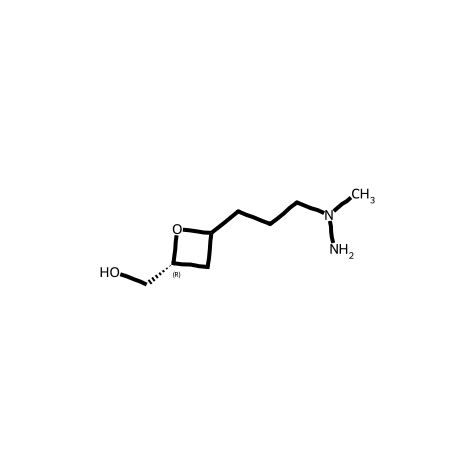 CN(N)CCCC1C[C@H](CO)O1